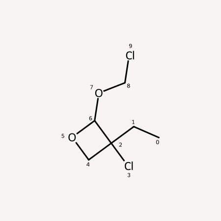 CCC1(Cl)COC1OCCl